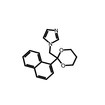 c1ccc2c(C3(Cn4ccnc4)OCCCO3)cccc2c1